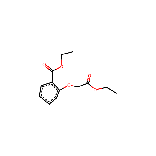 CCOC(=O)COc1ccccc1C(=O)OCC